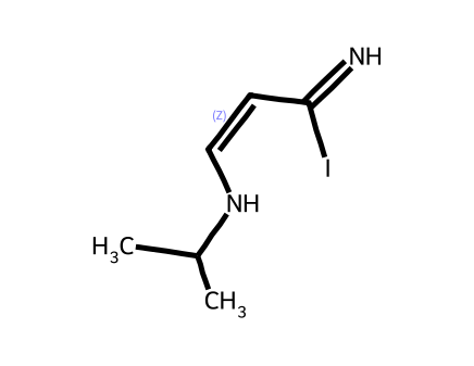 CC(C)N/C=C\C(=N)I